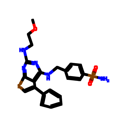 COCCNc1nc(NCc2ccc(S(N)(=O)=O)cc2)c2c(-c3ccccc3)csc2n1